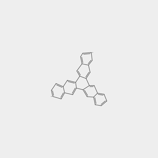 [c]1ccc2cc3c(cc2c1)c1cc2ccccc2cc1c1cc2c[c]ccc2cc13